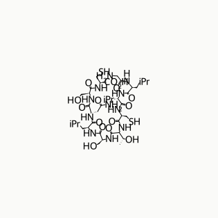 CC(C)C[C@H](NC(=O)CN)C(=O)N[C@H](C(=O)N[C@@H](CS)C(=O)N[C@H](C(=O)N[C@@H](CO)C(=O)N[C@@H](CC(C)C)C(=O)N[C@@H](CC(N)=O)C(=O)N[C@@H](CO)C(=O)N[C@@H](CS)C(=O)O)[C@@H](C)O)C(C)C